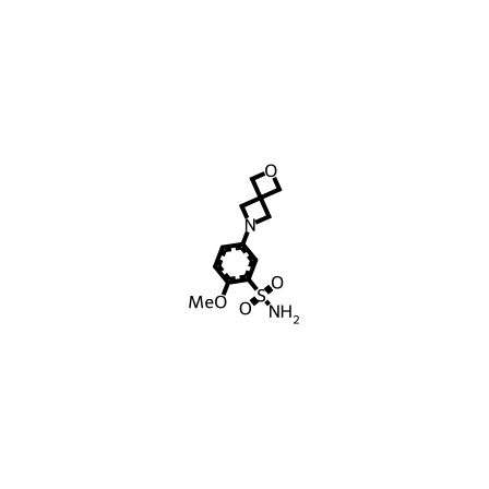 COc1ccc(N2CC3(COC3)C2)cc1S(N)(=O)=O